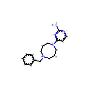 Nc1nccc(N2CCCN(Cc3ccccc3)CCC2)n1